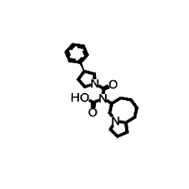 O=C(O)N(C(=O)N1CC[C@@H](c2ccccc2)C1)C1CCCCC2CCCN2C1